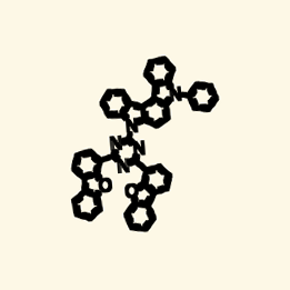 c1ccc(-n2c3ccccc3c3c4c5ccccc5n(-c5nc(-c6cccc7c6oc6ccccc67)nc(-c6cccc7c6oc6ccccc67)n5)c4ccc32)cc1